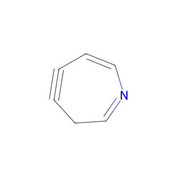 C1#CCC=NC=C1